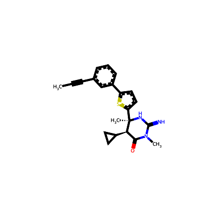 CC#Cc1cccc(-c2ccc([C@@]3(C)NC(=N)N(C)C(=O)[C@H]3C3CC3)s2)c1